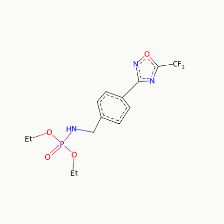 CCOP(=O)(NCc1ccc(-c2noc(C(F)(F)F)n2)cc1)OCC